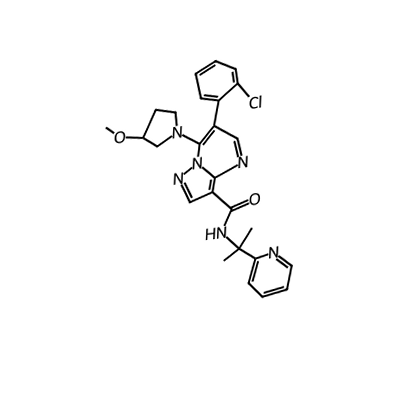 COC1CCN(c2c(-c3ccccc3Cl)cnc3c(C(=O)NC(C)(C)c4ccccn4)cnn23)C1